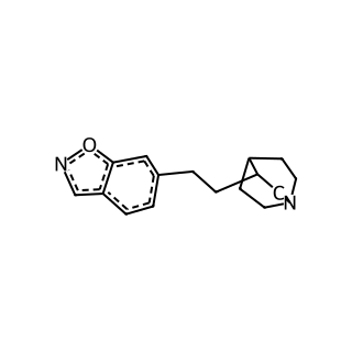 c1cc2cnoc2cc1CCC1CN2CCC1CC2